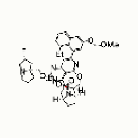 CCc1cccc2cc(OCOC)cc(-c3cc4nc(OC[C@]56CCCN5C[C@H](F)C6)nc5c4c(n3)OC[C@H]3[C@H]4CC[C@@H](CN53)N4C(=O)OC(C)(C)C)c12